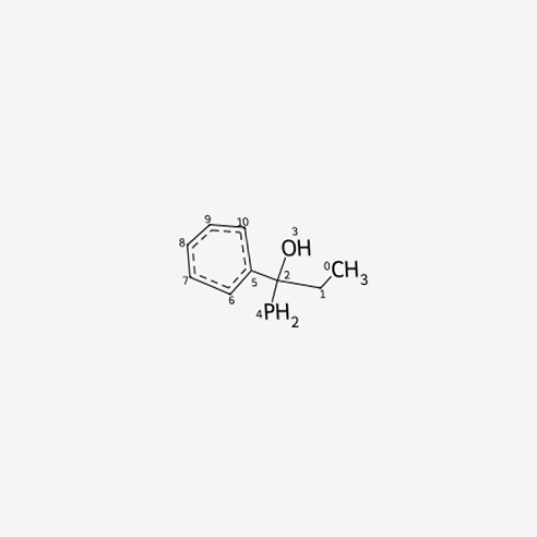 CCC(O)(P)c1ccccc1